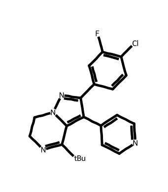 CC(C)(C)C1=NCCn2nc(-c3ccc(Cl)c(F)c3)c(-c3ccncc3)c21